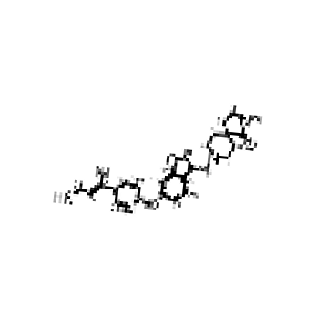 CN1CCC2(CCN(Cc3coc4cc(Oc5ccc(/C(N)=C/C=N)cn5)ccc34)CC2)C1=O